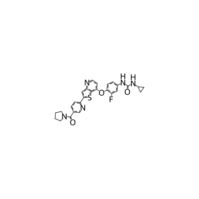 O=C(Nc1ccc(Oc2ccnc3cc(-c4ccc(C(=O)N5CCCC5)cn4)sc23)c(F)c1)NC1CC1